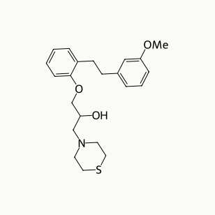 COc1cccc(CCc2ccccc2OCC(O)CN2CCSCC2)c1